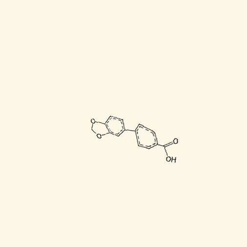 O=C(O)c1ccc(-c2ccc3c(c2)OCO3)cc1